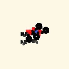 C[C@@H](OC[C@@]1(c2ccccc2)C(O)OC(c2ccccc2)N1C(=O)OCc1ccccc1)c1cc(C(F)(F)F)cc(C(F)(F)F)c1